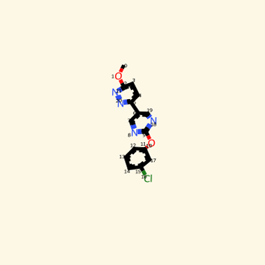 COc1ccc(-c2cnc(Oc3cccc(Cl)c3)nc2)nn1